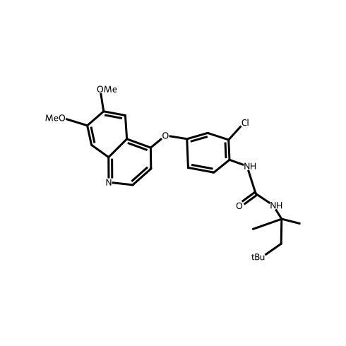 COc1cc2nccc(Oc3ccc(NC(=O)NC(C)(C)CC(C)(C)C)c(Cl)c3)c2cc1OC